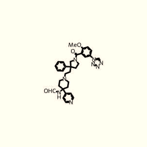 COc1ccc(-n2cnnn2)cc1C(=O)N1CCC(CCN2CCC(NC=O)(c3ccncc3)CC2)(c2ccccc2)C1